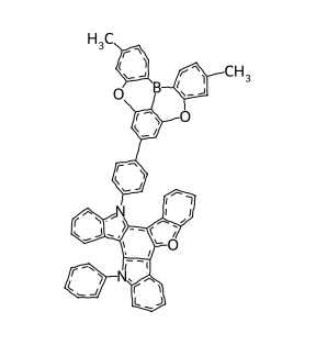 Cc1ccc2c(c1)Oc1cc(-c3ccc(-n4c5ccccc5c5c6c(c7ccccc7n6-c6ccccc6)c6oc7ccccc7c6c54)cc3)cc3c1B2c1ccc(C)cc1O3